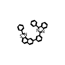 c1ccc(-c2nc3c(ccc4ccc(-c5cccc(-c6nc(-c7ccccc7)c7ccccc7n6)c5)cc43)s2)cc1